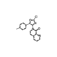 Cc1ccc(-c2oc(Cl)nc2-n2ccc3cccnc3c2=O)cc1